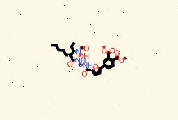 CCCCCC(C(=O)NCNC(=O)c1ccc(-c2ccc(C(=O)OC)c(C(=O)OC)c2)o1)C(CC)N(O)C=O